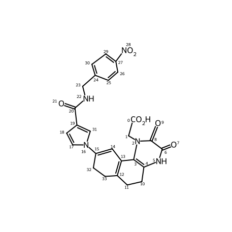 O=C(O)Cn1c2c([nH]c(=O)c1=O)CCC1=C2C=C(n2ccc(C(=O)NCc3ccc([N+](=O)[O-])cc3)c2)CC1